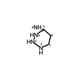 C1CNNNC1.N